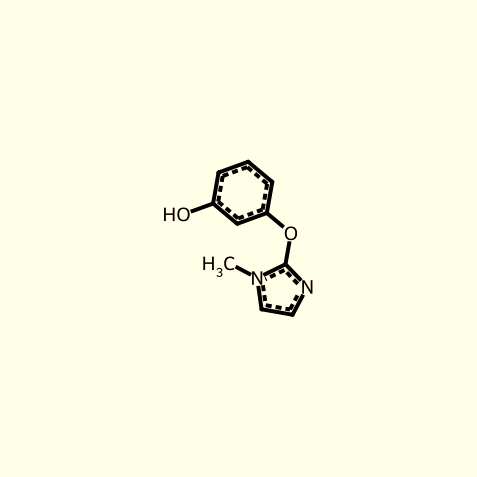 Cn1ccnc1Oc1cccc(O)c1